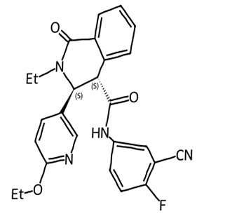 CCOc1ccc([C@@H]2[C@@H](C(=O)Nc3ccc(F)c(C#N)c3)c3ccccc3C(=O)N2CC)cn1